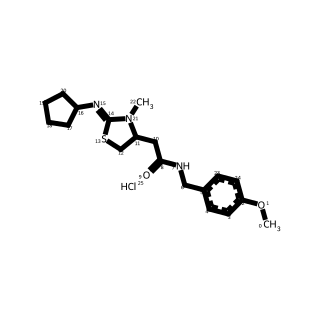 COc1ccc(CNC(=O)CC2CS/C(=N\C3CCCC3)N2C)cc1.Cl